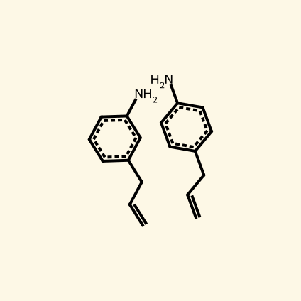 C=CCc1ccc(N)cc1.C=CCc1cccc(N)c1